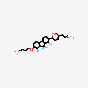 CCCCOc1ccc2c(c1F)C(F)(F)c1c-2ccc(C2CC=C(CCC)CO2)c1F